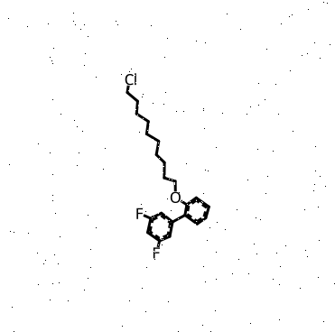 Fc1cc(F)cc(-c2ccccc2OCCCCCCCCCCCl)c1